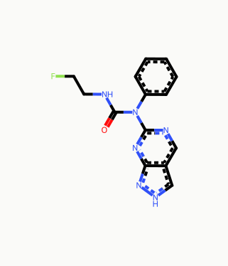 O=C(NCCF)N(c1ccccc1)c1ncc2c[nH]nc2n1